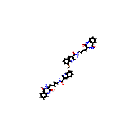 O=C(NCCCCC1NC(=O)c2ccccc2NC1=O)c1cnc2c(SSc3cccc4cc(C(=O)NCCCCC5NC(=O)c6ccccc6NC5=O)cnc34)cccc2c1